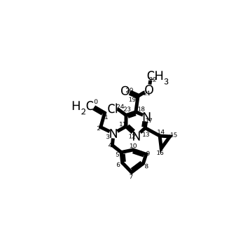 C=CCN(Cc1ccccc1)c1nc(C2CC2)nc(C(=O)OC)c1Cl